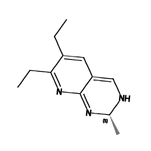 CCc1cc2c(nc1CC)=N[C@@H](C)NC=2